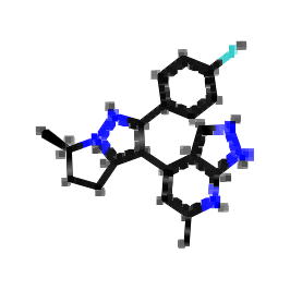 Cc1cc(-c2c(-c3ccc(F)cc3)nn3c2CC[C@H]3C)c2cn[nH]c2n1